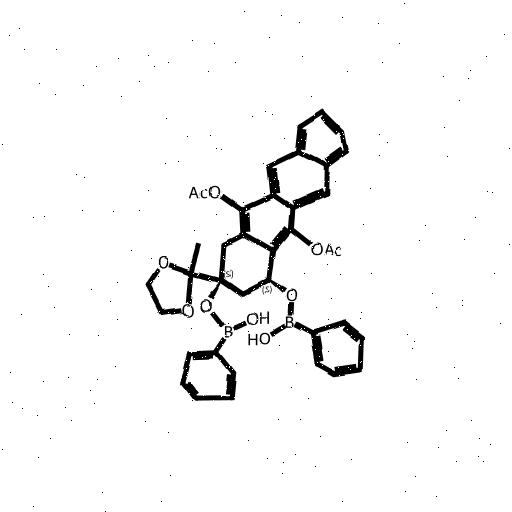 CC(=O)Oc1c2c(c(OC(C)=O)c3cc4ccccc4cc13)[C@@H](OB(O)c1ccccc1)C[C@](OB(O)c1ccccc1)(C1(C)OCCO1)C2